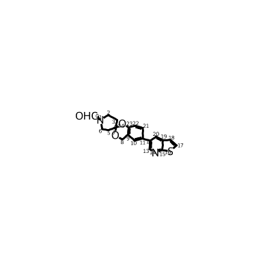 O=CN1CCC2(CC1)OCc1cc(-c3cnc4sccc4c3)ccc1O2